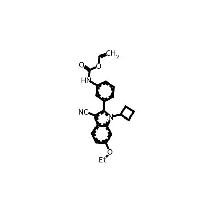 C=COC(=O)Nc1cccc(-c2c(C#N)c3ccc(OCC)cc3n2C2CCC2)c1